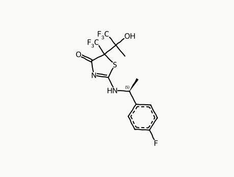 C[C@H](NC1=NC(=O)C(C(F)(F)F)(C(C)(O)C(F)(F)F)S1)c1ccc(F)cc1